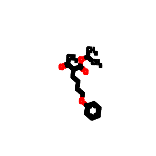 CC(=O)C(CCCCOc1ccccc1)C(=O)OC(C)C